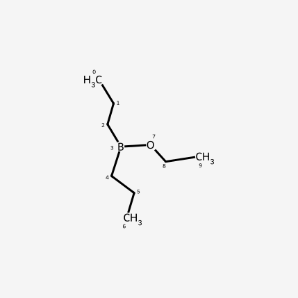 CCCB(CCC)OCC